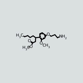 CCCCCC(CC(=O)OC)c1ccc(OCCCN)cc1OC